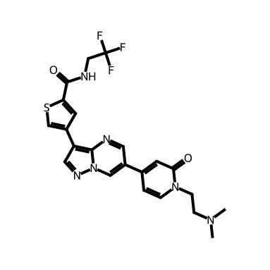 CN(C)CCn1ccc(-c2cnc3c(-c4csc(C(=O)NCC(F)(F)F)c4)cnn3c2)cc1=O